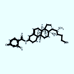 CC(C)CCC[C@@H](C)[C@H]1CC[C@H]2[C@@H]3CC=C4CC(OC(=O)c5ccc(Cl)cc5Cl)CC[C@]4(C)[C@H]3CC[C@]12C